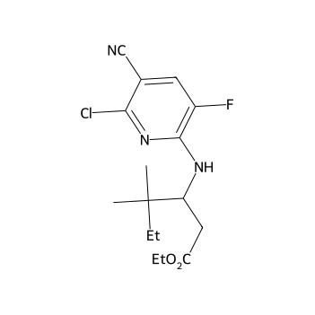 CCOC(=O)CC(Nc1nc(Cl)c(C#N)cc1F)C(C)(C)CC